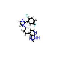 CC(Cc1ccnc2[nH]cnc12)Cn1ccnc1-c1cc(F)ccc1F